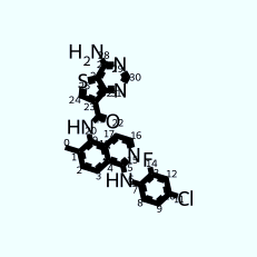 Cc1ccc2c(Nc3ccc(Cl)cc3F)nccc2c1NC(=O)c1csc2c(N)ncnc12